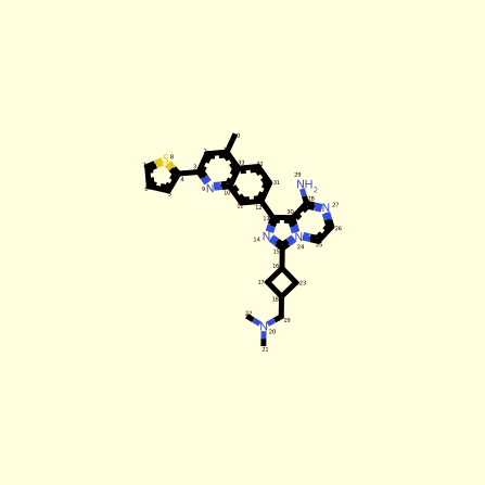 Cc1cc(-c2cccs2)nc2cc(-c3nc(C4CC(CN(C)C)C4)n4ccnc(N)c34)ccc12